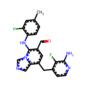 Cc1ccc(Nc2c(C=O)cc(Cc3ccnc(N)c3F)c3cncn23)c(F)c1